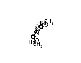 CNC(=O)c1cccc(-c2cc3n(n2)Cc2ccc(NC(C)=O)cc2OC3)c1